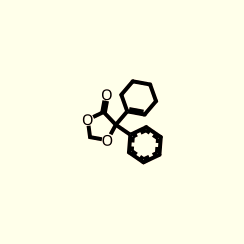 O=C1OCOC1(C1=CCCCC1)c1ccccc1